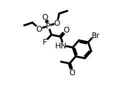 CCOP(=O)(OCC)C(F)C(=O)Nc1cc(Br)ccc1C(C)=O